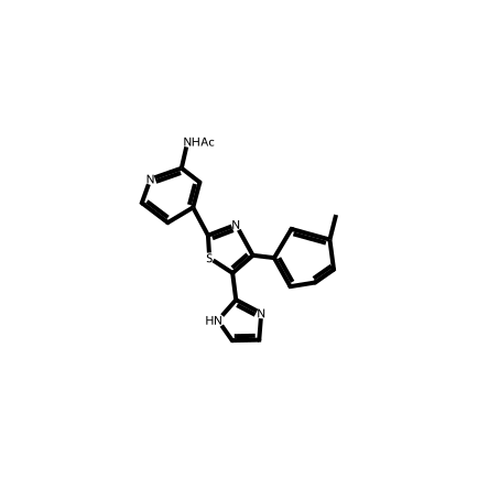 CC(=O)Nc1cc(-c2nc(-c3cccc(C)c3)c(-c3ncc[nH]3)s2)ccn1